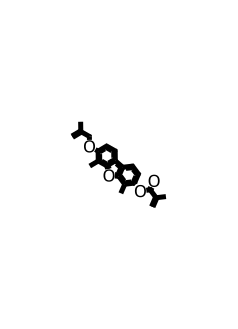 C=C(C)COc1ccc2c(oc3c(C)c(OC(=O)C(=C)C)ccc32)c1C